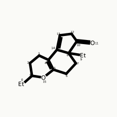 CCC1CCC2=C(CCC3(CC)C(=O)CC=C23)O1